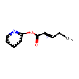 CC/C=C/C(=O)Oc1ccccn1